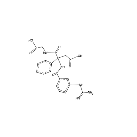 N=C(N)Nc1cccc(C(=O)NC(CC(=O)O)(C(=O)NCC(=O)O)c2ccccc2)c1